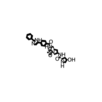 CS(=O)(=O)N1C[C@H](NC(=O)[C@@H]2C[C@H](O)CN2)C[C@@H]1CNC(=O)c1ccc(-c2cnc(-c3ccccc3)[nH]2)cc1